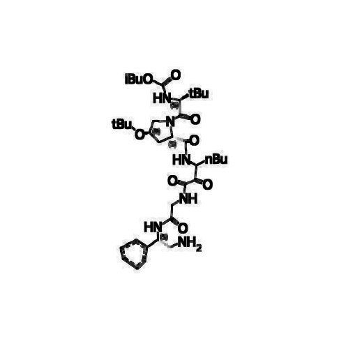 CCCCC(NC(=O)[C@@H]1C[C@@H](OC(C)(C)C)CN1C(=O)[C@@H](NC(=O)OCC(C)C)C(C)(C)C)C(=O)C(=O)NCC(=O)N[C@H](CN)c1ccccc1